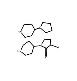 C1CCN(C2CCNCC2)C1.O=C1C(F)CCN1C1CCNCC1